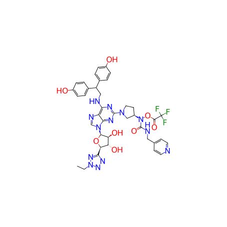 CCn1nnc([C@H]2O[C@@H](n3cnc4c(NCC(c5ccc(O)cc5)c5ccc(O)cc5)nc(N5CC[C@@H](N(OC(=O)C(F)(F)F)C(=O)NCc6ccncc6)C5)nc43)[C@@H](O)[C@@H]2O)n1